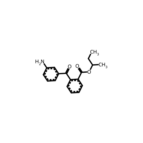 CCC(C)OC(=O)c1ccccc1C(=O)c1cccc(N)c1